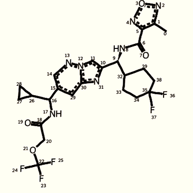 Cc1nonc1C(=O)N[C@H](c1cn2ncc(C(NC(=O)COC(F)(F)F)C3CC3)cc2n1)C1CCC(F)(F)CC1